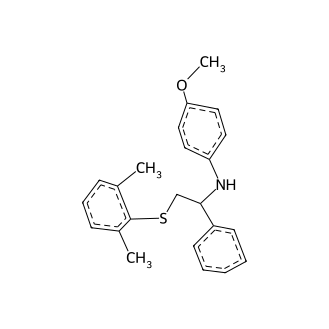 COc1ccc(NC(CSc2c(C)cccc2C)c2ccccc2)cc1